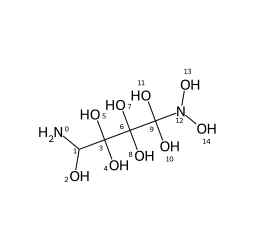 NC(O)C(O)(O)C(O)(O)C(O)(O)N(O)O